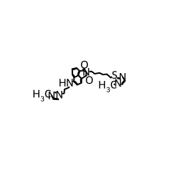 CN1C=CN(CCCNc2ccc3c4c(cccc24)C(=O)N(CCCCCCSc2nccn2C)C3=O)C1